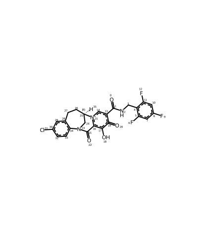 O=C(NCc1c(F)cc(F)cc1F)c1cn2c(c(O)c1=O)C(=O)N1C[C@H]2CCc2cc(Cl)ccc21